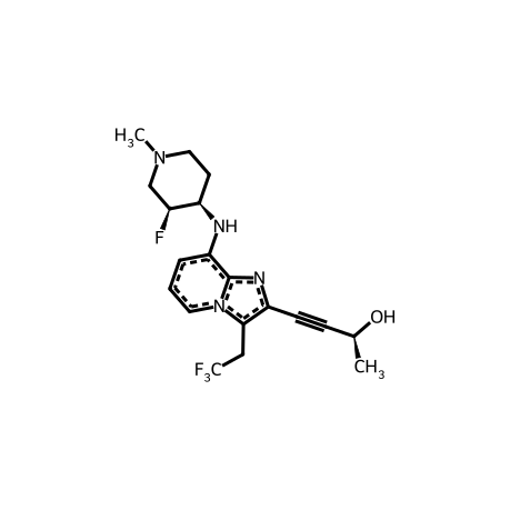 C[C@H](O)C#Cc1nc2c(N[C@@H]3CCN(C)C[C@@H]3F)cccn2c1CC(F)(F)F